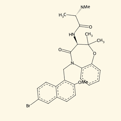 CN[C@@H](C)C(=O)N[C@@H]1C(=O)N(Cc2c(OC)ccc3cc(Br)ccc23)c2ccccc2OC1(C)C